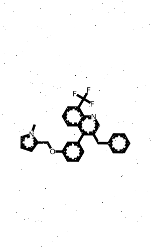 Cn1cccc1COc1cccc(-c2c(Cc3ccccc3)cnc3c(C(F)(F)F)cccc23)c1